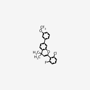 CC1(C)C=C(c2c(F)cccc2Cl)Oc2cc(-c3cccc(OC(F)(F)F)c3)ccc21